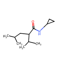 CC(C)CC(C(=O)NC1CC1)C(C)C